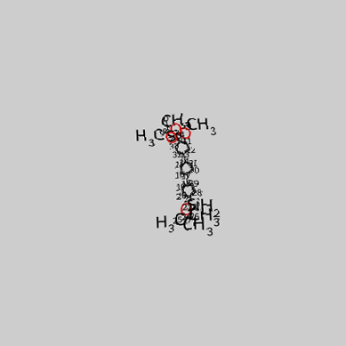 CCO[Si](OCC)(OCC)c1ccc(-c2ccc(-c3ccc([SiH2]OC(C)(C)C)cc3)cc2)cc1